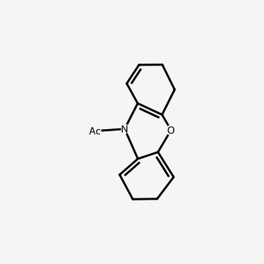 CC(=O)N1C2=CCCC=C2OC2=C1C=CCC2